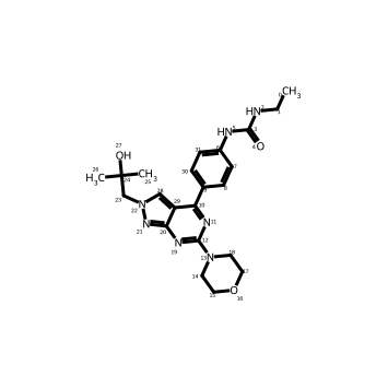 CCNC(=O)Nc1ccc(-c2nc(N3CCOCC3)nc3nn(CC(C)(C)O)cc23)cc1